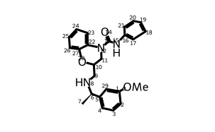 COc1cccc([C@@H](C)NCC2CN(C(=O)Nc3ccccc3)c3ccccc3O2)c1